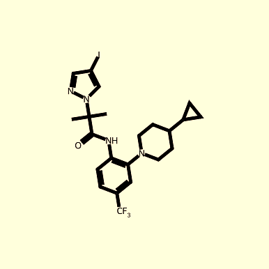 CC(C)(C(=O)Nc1ccc(C(F)(F)F)cc1N1CCC(C2CC2)CC1)n1cc(I)cn1